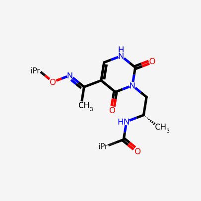 C/C(=N\OC(C)C)c1c[nH]c(=O)n(C[C@H](C)NC(=O)C(C)C)c1=O